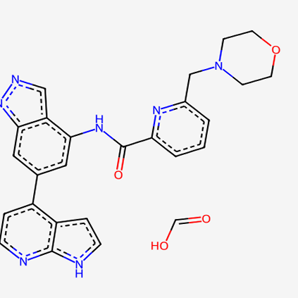 O=C(Nc1cc(-c2ccnc3[nH]ccc23)cc2[nH]ncc12)c1cccc(CN2CCOCC2)n1.O=CO